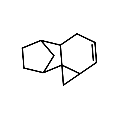 C1=CC2CC23C2CCC(C2)C3C1